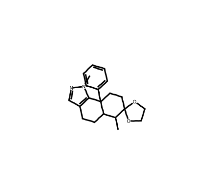 CC1C2CCc3cnn(C)c3C2(c2ccccc2)CCC12OCCO2